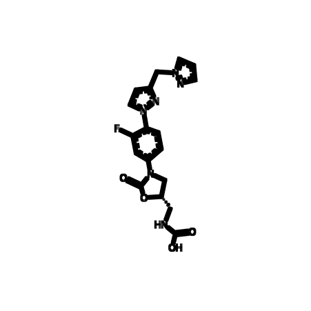 O=C(O)NC[C@H]1CN(c2ccc(-n3ccc(Cn4cccn4)n3)c(F)c2)C(=O)O1